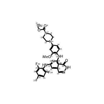 COc1cc(N2CCN(C(=O)OC(C)(C)C)CC2)ccc1Nc1nc(Nc2c(F)cc(F)cc2F)cc2cn[nH]c(=O)c12